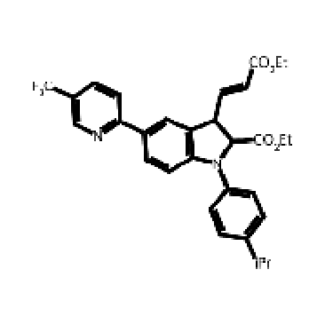 CCOC(=O)C=CC1c2cc(-c3ccc(C(F)(F)F)cn3)ccc2N(c2ccc(C(C)C)cc2)C1C(=O)OCC